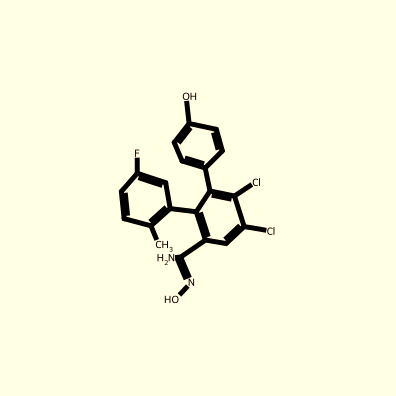 Cc1ccc(F)cc1-c1c(/C(N)=N/O)cc(Cl)c(Cl)c1-c1ccc(O)cc1